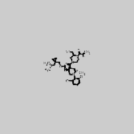 C=C(F)C(=O)N1CCN(c2nc(OCC3(CN(C)C)CC3)nc3c2C[C@H](C)N(c2c(Cl)cccc2Cl)C3)CC1CC#N